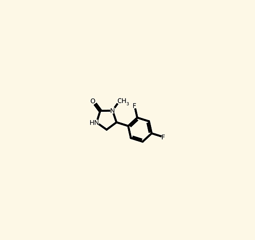 CN1C(=O)NCC1c1ccc(F)cc1F